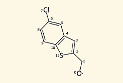 [O]Cc1cc2cc(Cl)ccc2s1